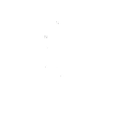 Cc1ccc(C)n1-c1nsc2c(C(=O)OCc3ccccc3)cccc12